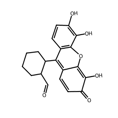 O=CC1CCCCC1c1c2ccc(=O)c(O)c-2oc2c(O)c(O)ccc12